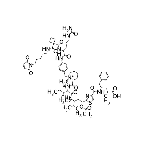 CCC(C)C(NC(=O)C1CCCC[N+]1(C)Cc1ccc(NC(=O)C(CCCNC(N)=O)NC(=O)C2(C(=O)NCCCCCN3C(=O)C=CC3=O)CCC2)cc1)C(=O)N(C)C(CC(OC(C)=O)c1nc(C(=O)NC(Cc2ccccc2)CC(C)C(=O)O)cs1)C(C)C